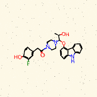 CC(O)C(Oc1cccc2[nH]c3ccccc3c12)N1CCN(C(=O)Cc2ccc(O)c(F)c2)CC1